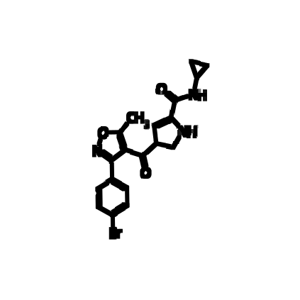 Cc1onc(-c2ccc(Br)cc2)c1C(=O)C1C=C(C(=O)NC2CC2)NC1